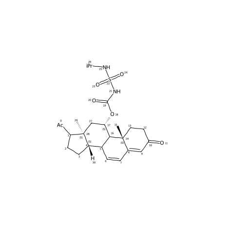 CC(=O)C1CC[C@H]2C3C=CC4=CC(=O)CC[C@@]4(C)C3[C@@H](OC(=O)NS(=O)(=O)NC(C)C)C[C@]12C